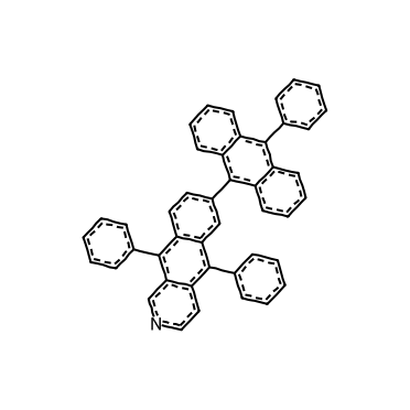 c1ccc(-c2c3ccccc3c(-c3ccc4c(-c5ccccc5)c5cnccc5c(-c5ccccc5)c4c3)c3ccccc23)cc1